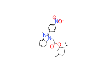 CC(C)[C@@H]1CC[C@@H](C)C[C@H]1OC(=O)Cn1c(-c2ccc([N+](=O)[O-])cc2)[n+](C)c2ccccc21